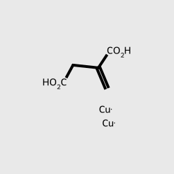 C=C(CC(=O)O)C(=O)O.[Cu].[Cu]